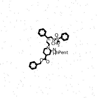 CCCCCN[C@@H]1CC(C(=O)OCc2ccccc2)CCN1CC[C@@H](CN(C)S(=O)(=O)c1ccccc1)c1ccccc1